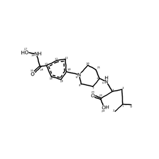 CC(C)CC(NC1CCN(c2ccc(C(=O)NO)cc2)CC1)C(=O)O